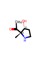 COC(=O)[C@@]1(C)NCC[C@H]1O